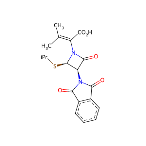 CC(C)=C(C(=O)O)N1C(=O)[C@@H](N2C(=O)c3ccccc3C2=O)[C@H]1SC(C)C